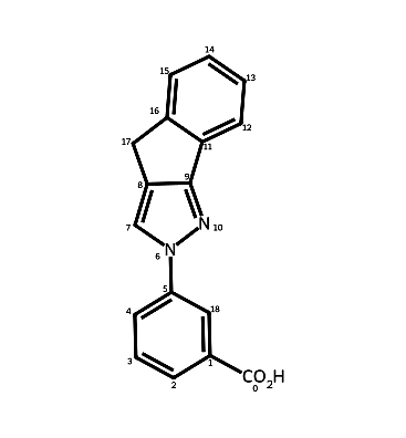 O=C(O)c1cccc(-n2cc3c(n2)-c2ccccc2C3)c1